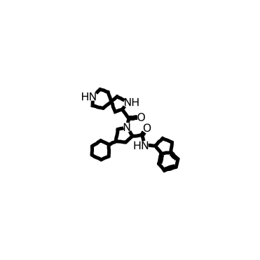 O=C(NC1CCc2ccccc21)C1CC(C2CCCCC2)CN1C(=O)C1CC2(CCNCC2)CN1